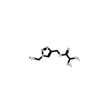 CCn1cc(COC(=O)C(C)C)nn1